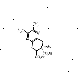 CCOC(=O)C1Cc2nc(C)c(C)nc2C[N+]1(C(C)=O)C(=O)OCC